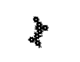 Cc1cc(N(c2ccccc2)c2ccc(F)cc2)cc(C)c1-c1ccc2c(c1)C(C)(C)c1cc(-c3ccccc3)ccc1N2c1ccccc1